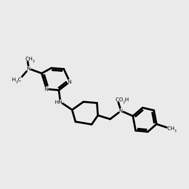 Cc1ccc(N(CC2CCC(Nc3nccc(N(C)C)n3)CC2)C(=O)O)cc1